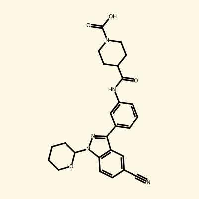 N#Cc1ccc2c(c1)c(-c1cccc(NC(=O)C3CCN(C(=O)O)CC3)c1)nn2C1CCCCO1